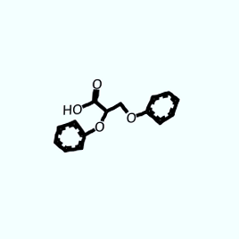 O=C(O)C(COc1ccccc1)Oc1ccccc1